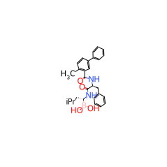 Cc1ccc(-c2ccccc2)cc1C(=O)N[C@@H](Cc1ccccc1)C(=O)N[C@@H](CC(C)C)B(O)O